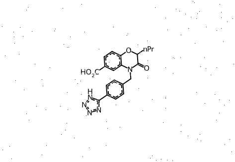 CCCC1Oc2ccc(C(=O)O)cc2N(Cc2ccc(-c3nnn[nH]3)cc2)C1=O